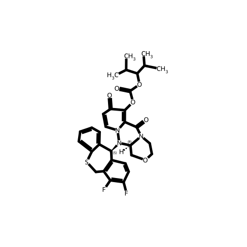 CC(C)C(OC(=O)Oc1c2n(ccc1=O)N([C@@H]1c3ccccc3SCc3c1ccc(F)c3F)[C@@H]1COCCN1C2=O)C(C)C